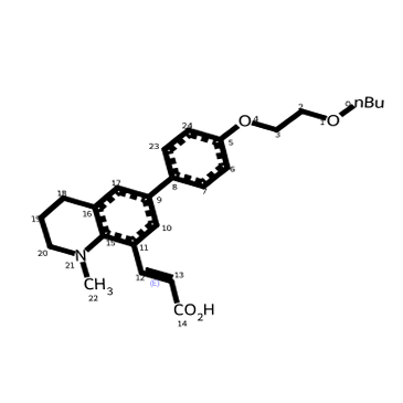 CCCCOCCOc1ccc(-c2cc(/C=C/C(=O)O)c3c(c2)CCCN3C)cc1